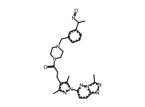 Cc1nn(-c2ccc3nnc(C)n3n2)c(C)c1CCC(=O)N1CCN(Cc2cccc(C(C)N=O)c2)CC1